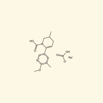 COc1ncc(C2=CCC(C)CN2C(=O)O)cc1C.O=C([O-])O.[Na+]